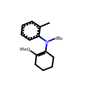 COC1=C(N(c2ccccc2C)C(C)(C)C)CCCC1